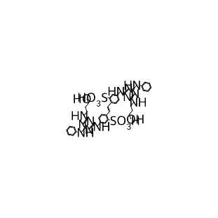 O=S(=O)(O)c1cc(Nc2nc(NCCCO)nc(Nc3ccccc3)n2)ccc1/C=C/c1ccc(Nc2nc(NCCCO)nc(Nc3ccccc3)n2)cc1S(=O)(=O)O